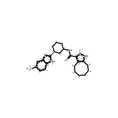 O=C(NC1CCC[C@H](c2nc3cc(C(F)(F)F)ccc3[nH]2)C1)c1n[nH]c2c1CCCCCC2